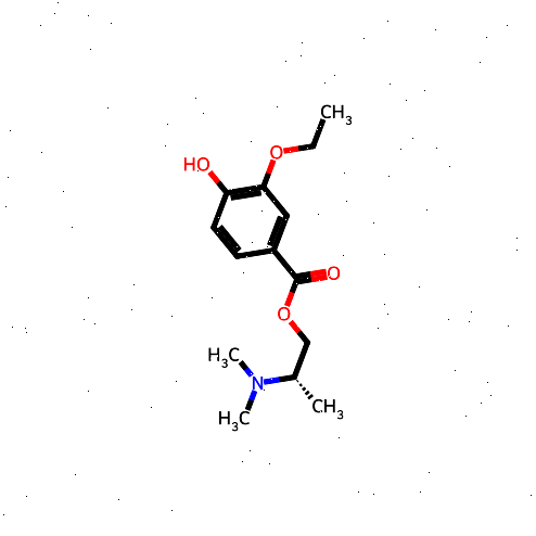 CCOc1cc(C(=O)OC[C@H](C)N(C)C)ccc1O